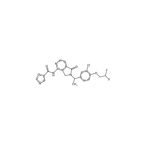 CC(c1ccc(OCC(F)F)c(Cl)c1)N1Cc2c(ccnc2NC(=O)c2cnco2)C1=O